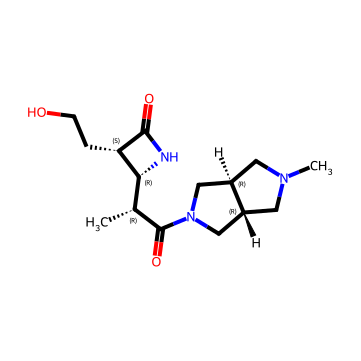 C[C@@H](C(=O)N1C[C@H]2CN(C)C[C@@H]2C1)[C@H]1NC(=O)[C@H]1CCO